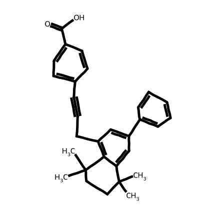 CC1(C)CCC(C)(C)c2c(CC#Cc3ccc(C(=O)O)cc3)cc(-c3ccccc3)cc21